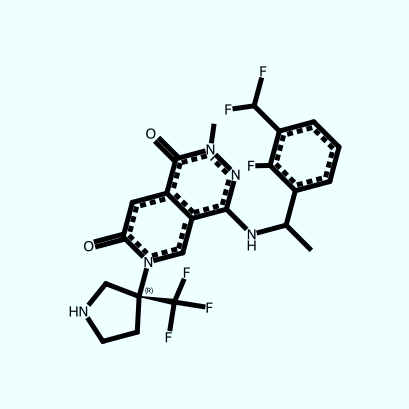 CC(Nc1nn(C)c(=O)c2cc(=O)n([C@]3(C(F)(F)F)CCNC3)cc12)c1cccc(C(F)F)c1F